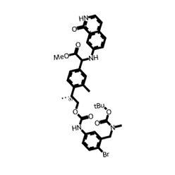 COC(=O)C(Nc1ccc2cc[nH]c(=O)c2c1)c1ccc([C@@H](C)COC(=O)Nc2ccc(Br)c(CN(C)C(=O)OC(C)(C)C)c2)c(C)c1